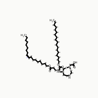 CCCCCCCC/C=C\CCCCCCCCOC(=O)CC[C@H](NN1CCNCCN(CC(=O)O)CC1)C(=O)OCCCCCCCCCCCCCCCCCC